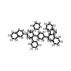 c1ccc(-c2nc(-c3ccc4ccccc4c3)nc(-c3ccccc3)c2-c2ccc(-c3nc4ccccc4c4nc5ccccn5c34)cc2)cc1